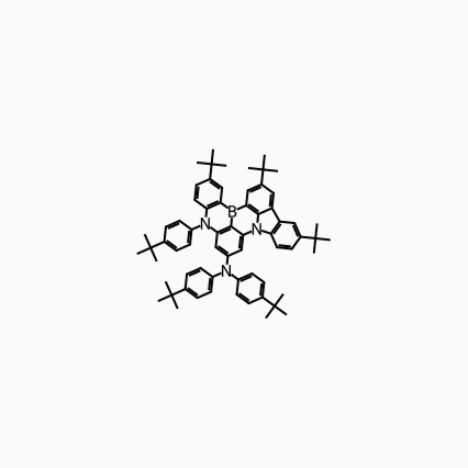 CC(C)(C)c1ccc(N(c2ccc(C(C)(C)C)cc2)c2cc3c4c(c2)-n2c5ccc(C(C)(C)C)cc5c5cc(C(C)(C)C)cc(c52)B4c2cc(C(C)(C)C)ccc2N3c2ccc(C(C)(C)C)cc2)cc1